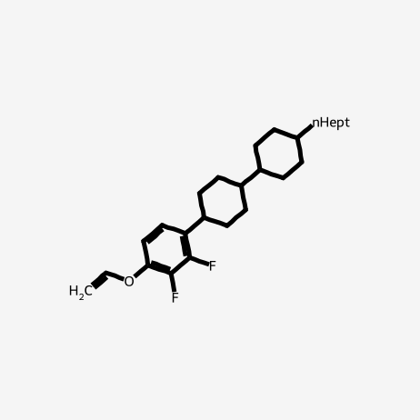 C=COc1ccc(C2CCC(C3CCC(CCCCCCC)CC3)CC2)c(F)c1F